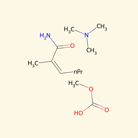 CCCC=C(C)C(N)=O.CN(C)C.COC(=O)O